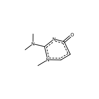 CN(C)c1nc(=O)ccn1C